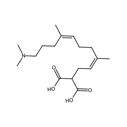 CC(=CCC(C(=O)O)C(=O)O)CCC=C(C)CCCN(C)C